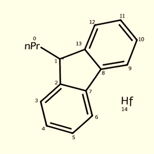 CCC[C]1c2ccccc2-c2ccccc21.[Hf]